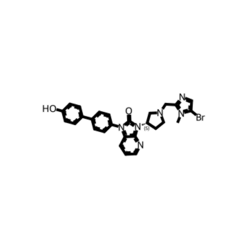 Cn1c(Br)cnc1CN1CC[C@H](n2c(=O)n(-c3ccc(-c4ccc(O)cc4)cc3)c3cccnc32)C1